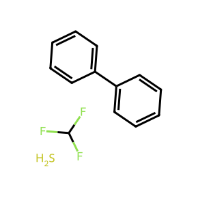 FC(F)F.S.c1ccc(-c2ccccc2)cc1